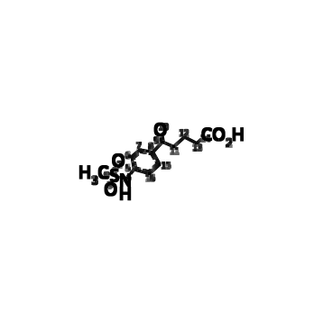 CS(=O)(=O)Nc1ccc(C(=O)CCCC(=O)O)cc1